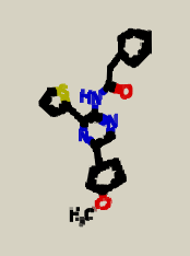 COc1ccc(-c2cnc(NC(=O)Cc3ccccc3)c(-c3cccs3)n2)cc1